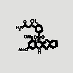 COc1cc(Nc2nc3ccccc3nc2NS(=O)(=O)c2cccc(N(C)CC(N)=O)c2)cc(OC)c1